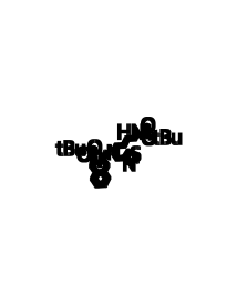 CC(C)(C)OC(=O)NCCCCN(Cc1cscn1)CC1Cc2ccccc2CN1C(=O)OC(C)(C)C